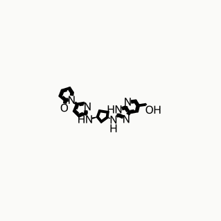 O=c1ccccn1-c1ccc(N[C@H]2CC[C@H](Nc3nc4cc(CO)cnc4[nH]3)C2)nc1